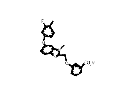 Cc1ccc(Oc2ccc3nc(COc4cccc(C(=O)O)c4)n(C)c3c2)cc1F